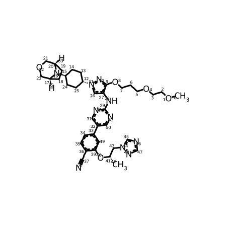 COCCOCCCOc1nn([C@H]2CC[C@H](N3[C@@H]4CC[C@H]3COC4)CC2)cc1Nc1ncc(-c2ccc(C#N)c(O[C@@H](C)Cn3cncn3)c2)cn1